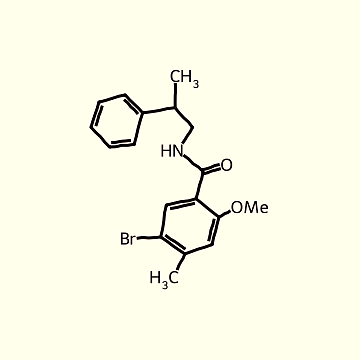 COc1cc(C)c(Br)cc1C(=O)NCC(C)c1ccccc1